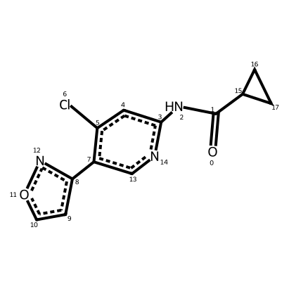 O=C(Nc1cc(Cl)c(-c2ccon2)cn1)C1CC1